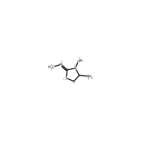 CCCN1/C(=N/C)SCC1N